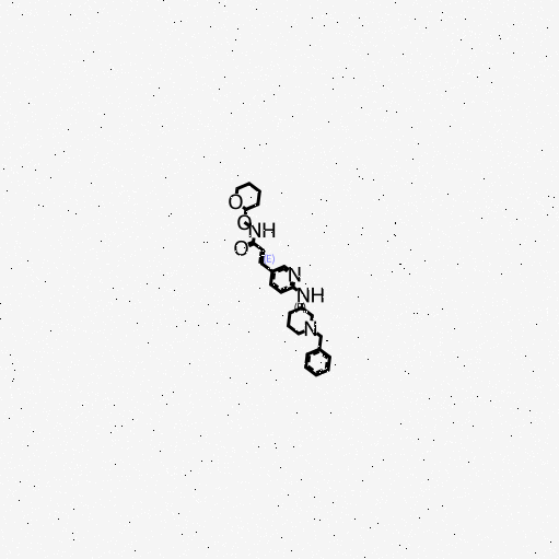 O=C(/C=C/c1ccc(N[C@@H]2CCCN(Cc3ccccc3)C2)nc1)NOC1CCCCO1